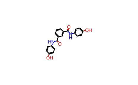 O=C(Nc1ccc(O)cc1)c1cccc(C(=O)Nc2ccc(O)cc2)c1